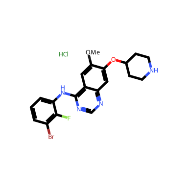 COc1cc2c(Nc3cccc(Br)c3F)ncnc2cc1OC1CCNCC1.Cl